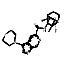 C[C@H]1[C@H](NC(=O)c2cc3c(N4CCSCC4)coc3cn2)C2CCN1CC2